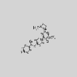 CC1CCN1c1nc(N2CCN(CC(=O)N3CCNCC3)CC2)c(Cl)c(C(F)(F)F)n1